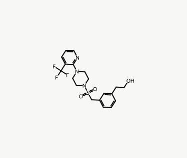 O=S(=O)(Cc1cccc(CCO)c1)N1CCN(c2ncccc2C(F)(F)F)CC1